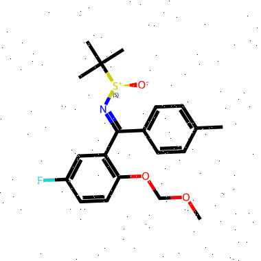 COCOc1ccc(F)cc1C(=N[S@+]([O-])C(C)(C)C)c1ccc(C)cc1